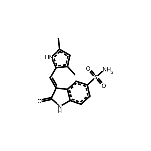 Cc1cc(C)c(C=C2C(=O)Nc3ccc(S(N)(=O)=O)cc32)[nH]1